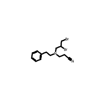 N#CCCN(CCc1ccccc1)CC(Br)CBr